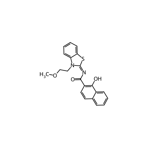 COCCn1c(=NC(=O)c2ccc3ccccc3c2O)sc2ccccc21